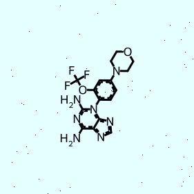 Nc1nc(N)n(-c2ccc(N3CCOCC3)cc2OC(F)(F)F)c2ncnc1-2